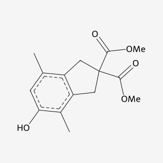 COC(=O)C1(C(=O)OC)Cc2c(C)cc(O)c(C)c2C1